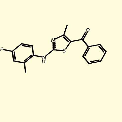 Cc1cc(F)ccc1Nc1nc(C)c(C(=O)c2ccccc2)s1